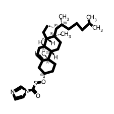 CC(C)CCC[C@@H](C)[C@H]1CC[C@H]2[C@@H]3CC=C4C[C@@H](OSC(=O)n5ccnc5)CC[C@]4(C)[C@H]3CC[C@]12C